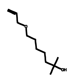 C=CCOCCCCCC(C)(C)O